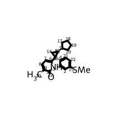 CSc1ccc([C@]2(c3ccc(C)c(=O)[nH]3)C[C@H]2C2CCCC2)cc1